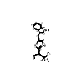 CCC(C(N)=O)c1ncc(Cc2c[nH]c3ccccc23)s1